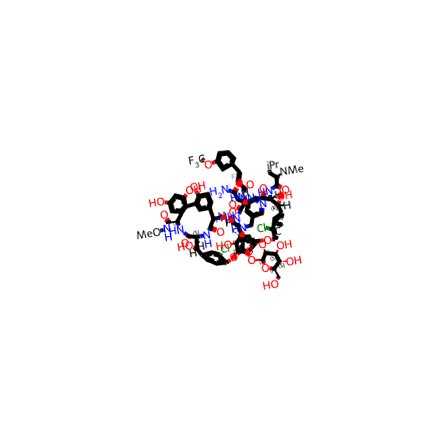 CN[C@H](CC(C)C)C(=O)N[C@H]1C(=O)N[C@@H](CC(N)=O)C(=O)N[C@H]2C(=O)N[C@H]3C(=O)N[C@H](C(=O)N[C@@H](C(=O)NOC)c4cc(O)cc(O)c4-c4cc3ccc4O)[C@H](O)c3ccc(c(Cl)c3)Oc3cc2cc(c3O[C@@H]2O[C@H](CO)[C@@H](O)[C@H](O)[C@H]2O[C@H]2C[C@](C)(NCc3cncc(NC(=O)/C=C/c4cccc(OC(F)(F)F)c4)c3)[C@H](O)[C@H](C)O2)Oc2ccc(cc2Cl)[C@H]1O